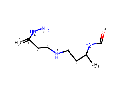 C=C(CCNCCC(C)NC=O)NN